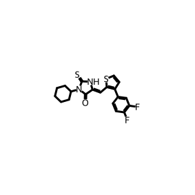 O=C1C(=Cc2sccc2-c2ccc(F)c(F)c2)NC(=S)N1C1CCCCC1